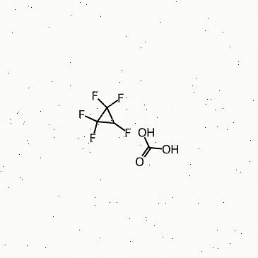 FC1C(F)(F)C1(F)F.O=C(O)O